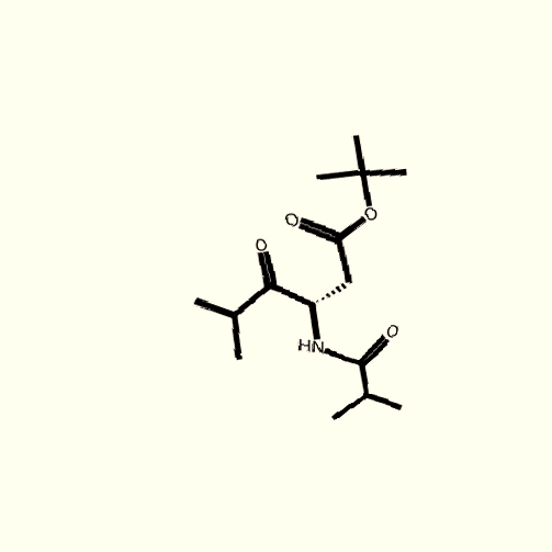 CC(C)C(=O)N[C@@H](CC(=O)OC(C)(C)C)C(=O)C(C)C